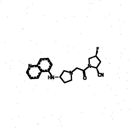 N#C[C@@H]1C[C@H](F)CN1C(=O)CN1CC[C@H](Nc2cccc3ncccc23)C1